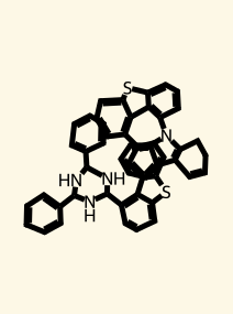 C1=Cc2c(n(-c3cccc4sc5cccc(-c6ccc7sc8cccc(C9NC(c%10ccccc%10)NC(c%10ccccc%10)N9)c8c7c6)c5c34)c3ccccc23)CC1